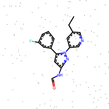 CCc1cncc(-n2nc(NC=O)cc2-c2cccc(F)c2)c1